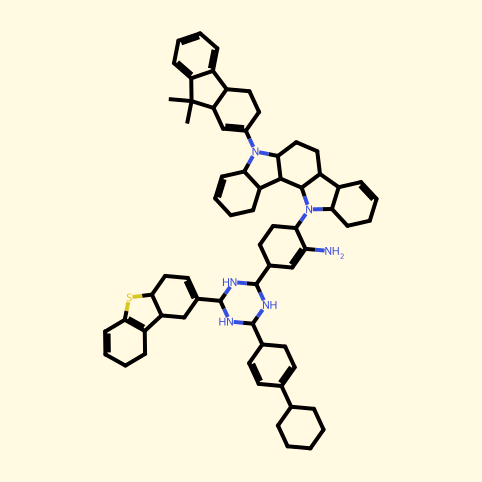 CC1(C)c2ccccc2C2CCC(N3C4C=CCCC4C4C3CCC3C5C=CCCC5N(C5CCC(C6NC(C7=CCC8SC9=C(CCC=C9)C8C7)NC(C7C=CC(C8CCCCC8)=CC7)N6)C=C5N)C34)=CC21